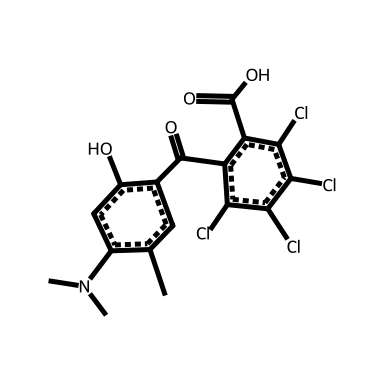 Cc1cc(C(=O)c2c(Cl)c(Cl)c(Cl)c(Cl)c2C(=O)O)c(O)cc1N(C)C